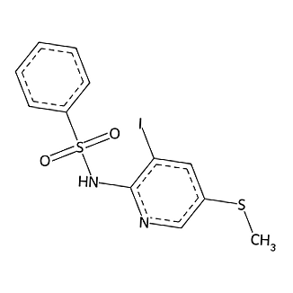 CSc1cnc(NS(=O)(=O)c2ccccc2)c(I)c1